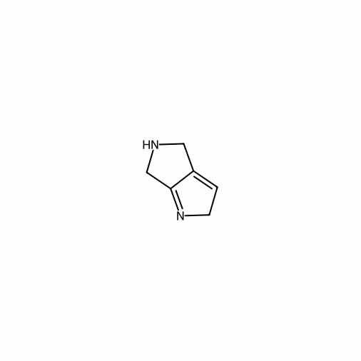 C1=C2CNCC2=NC1